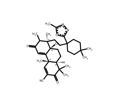 Cc1nnc(C2(CC[C@]3(C)C(C)C(=O)C=C4[C@@]5(C)C=C(C#N)C(=O)C(C)(C)[C@@H]5CC[C@]43C)CCC(C)(C)CC2)o1